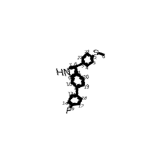 CSc1ccc(-c2c[nH]c3cc(-c4ccc(F)cc4)ccc23)cc1